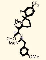 CN/C(Cc1cccc(OC)c1)=N\C(=C/C=O)c1nnn2c1CCCC2(C)c1ccc(C(F)(F)F)cc1F